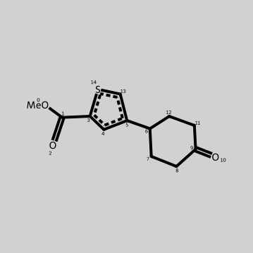 COC(=O)c1cc(C2CCC(=O)CC2)cs1